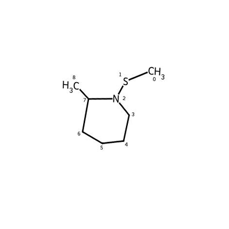 CSN1CCCCC1C